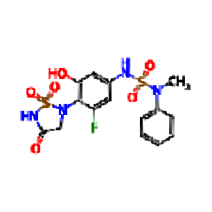 CN(c1ccccc1)S(=O)(=O)Nc1cc(O)c(N2CC(=O)NS2(=O)=O)c(F)c1